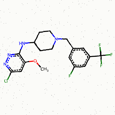 COc1cc(Cl)nnc1NC1CCN(Cc2cc(F)cc(C(F)(F)F)c2)CC1